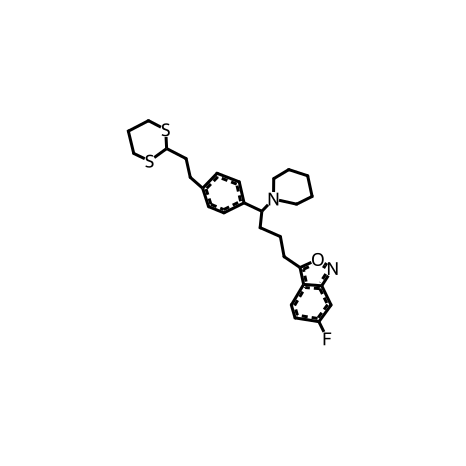 Fc1ccc2c(CCCC(c3ccc(CCC4SCCCS4)cc3)N3CCCCC3)onc2c1